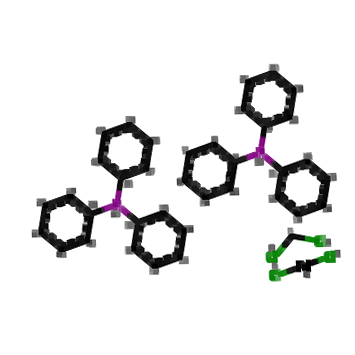 ClCCl.[Cl][Pd][Cl].c1ccc(P(c2ccccc2)c2ccccc2)cc1.c1ccc(P(c2ccccc2)c2ccccc2)cc1